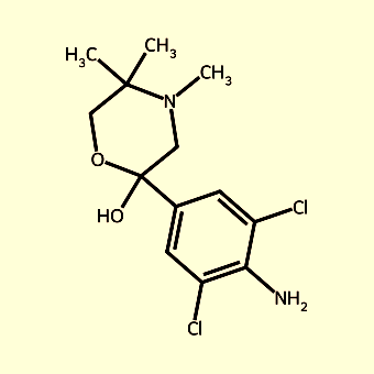 CN1CC(O)(c2cc(Cl)c(N)c(Cl)c2)OCC1(C)C